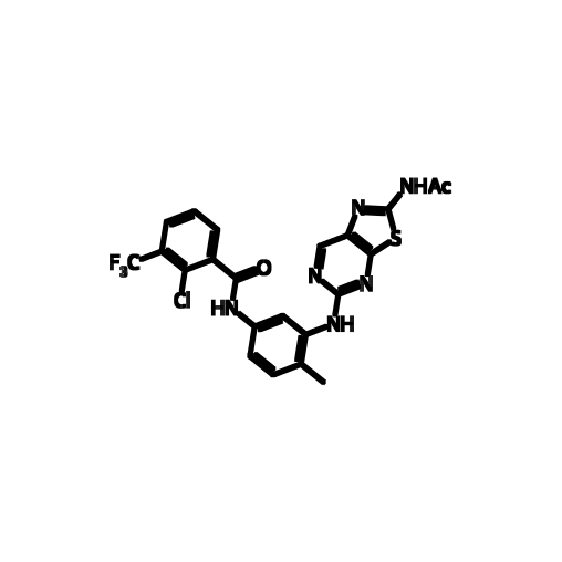 CC(=O)Nc1nc2cnc(Nc3cc(NC(=O)c4cccc(C(F)(F)F)c4Cl)ccc3C)nc2s1